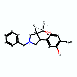 COc1ccc(C2CN(Cc3ccccc3)CC2(C)[C@@H](C)O)cc1O